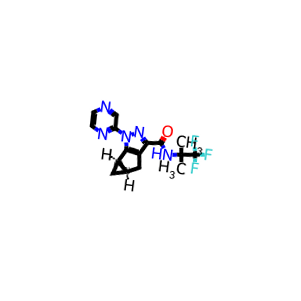 CC(C)(NC(=O)c1nn(-c2cnccn2)c2c1C[C@H]1C[C@@H]21)C(F)(F)F